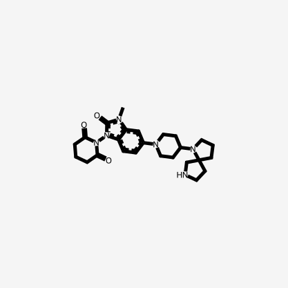 Cn1c(=O)n(N2C(=O)CCCC2=O)c2ccc(N3CCC(N4CCCC45CCNC5)CC3)cc21